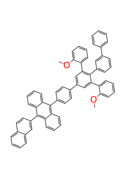 COc1ccccc1-c1cc(-c2ccc(-c3c4ccccc4c(-c4ccc5ccccc5c4)c4ccccc34)cc2)cc(-c2ccccc2OC)c1-c1cccc(-c2ccccc2)c1